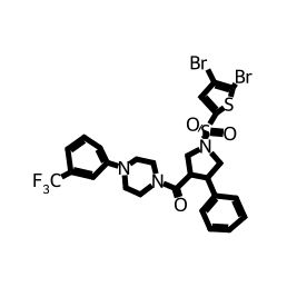 O=C(C1CN(S(=O)(=O)c2cc(Br)c(Br)s2)CC1c1ccccc1)N1CCN(c2cccc(C(F)(F)F)c2)CC1